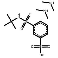 CC(C)(C)NS(=O)(=O)c1cccc(S(=O)(=O)O)c1.CNC.CNC